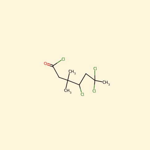 CC(Cl)(Cl)CC(Cl)C(C)(C)CC(=O)Cl